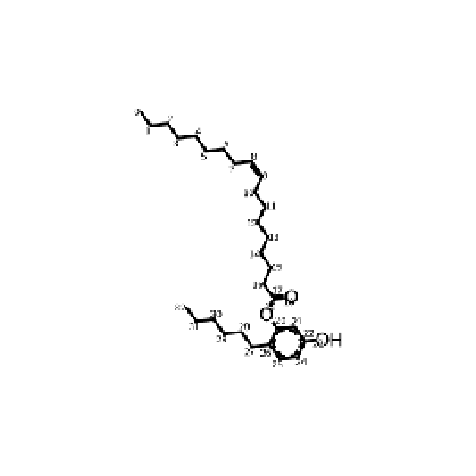 CCCCCCCC/C=C\CCCCCCCC(=O)Oc1cc(O)ccc1CCCCCC